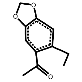 CCc1cc2c(cc1C(C)=O)OCO2